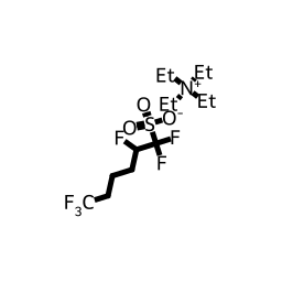 CC[N+](CC)(CC)CC.O=S(=O)([O-])C(F)(F)C(F)CCCC(F)(F)F